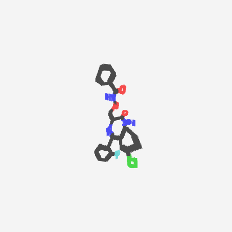 O=C(NOCC1N=C(c2ccccc2F)c2cc(Cl)ccc2NC1=O)c1ccccc1